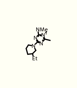 CCC1CCCN(c2nc(C)[n+](C)c(NC)n2)C1